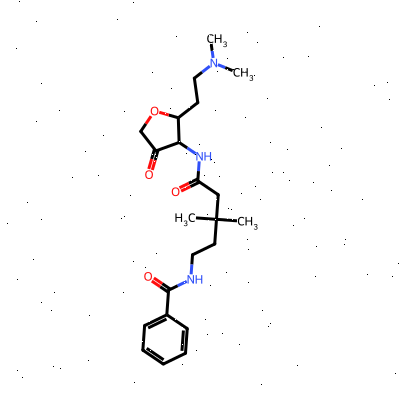 CN(C)CCC1OCC(=O)C1NC(=O)CC(C)(C)CCNC(=O)c1ccccc1